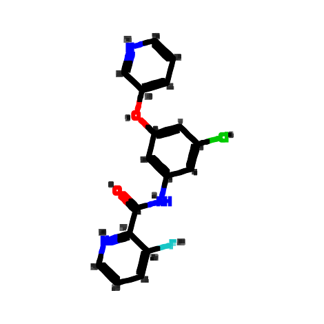 O=C(Nc1cc(Cl)cc(Oc2cccnc2)c1)c1ncccc1F